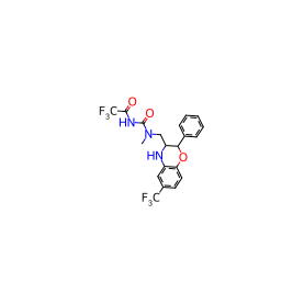 CN(CC1Nc2cc(C(F)(F)F)ccc2OC1c1ccccc1)C(=O)NC(=O)C(F)(F)F